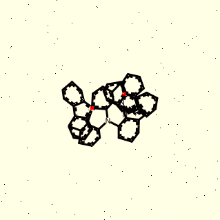 c1cc2c(c(N(c3cccc4c3-n3c5ccccc5c5c-4cccc53)c3cccc4c3-n3c5ccccc5c5c-4cccc53)c1)-n1c3ccccc3c3c-2cccc31